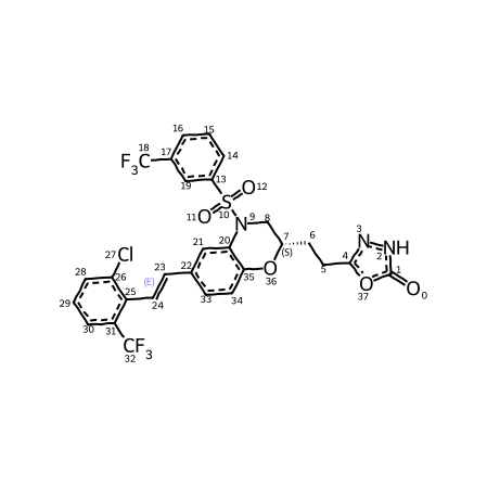 O=c1[nH]nc(CC[C@H]2CN(S(=O)(=O)c3cccc(C(F)(F)F)c3)c3cc(/C=C/c4c(Cl)cccc4C(F)(F)F)ccc3O2)o1